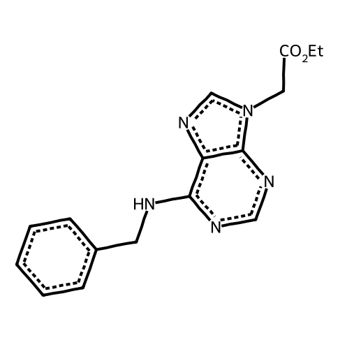 CCOC(=O)Cn1cnc2c(NCc3ccccc3)ncnc21